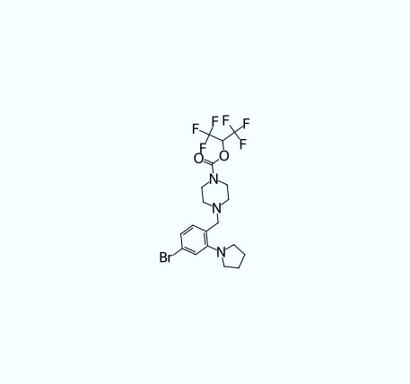 O=C(OC(C(F)(F)F)C(F)(F)F)N1CCN(Cc2ccc(Br)cc2N2CCCC2)CC1